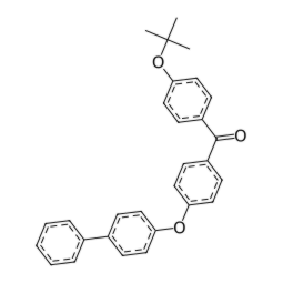 CC(C)(C)Oc1ccc(C(=O)c2ccc(Oc3ccc(-c4ccccc4)cc3)cc2)cc1